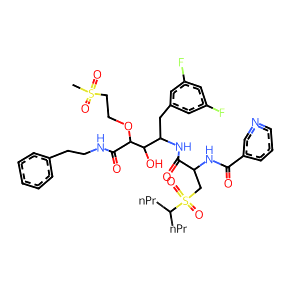 CCCC(CCC)S(=O)(=O)CC(NC(=O)c1cccnc1)C(=O)NC(Cc1cc(F)cc(F)c1)C(O)C(OCCS(C)(=O)=O)C(=O)NCCc1ccccc1